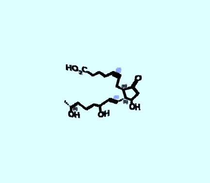 C[C@@H](O)CCCC(O)/C=C/[C@H]1C(O)CC(=O)[C@@H]1C/C=C\CCCC(=O)O